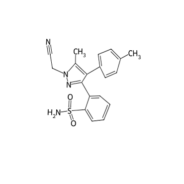 Cc1ccc(-c2c(-c3ccccc3S(N)(=O)=O)nn(CC#N)c2C)cc1